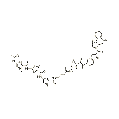 CC(=O)Nc1cn(C)c(C(=O)Nc2cn(C)c(C(=O)Nc3cc(C(=O)NCCCC(=O)Nc4cn(C)c(C(=O)Nc5ccc6[nH]c(C(=O)N7CC8CC89C7=CC(=O)c7ccccc79)cc6c5)n4)n(C)c3)n2)n1